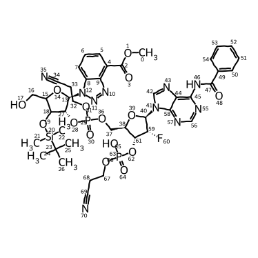 COC(=O)c1cccc2c1nnn2[C@@H]1OC(CO)C(O[Si](C)(C)C(C)(C)C)[C@H]1OP(=O)(OCCC#N)OC[C@H]1O[C@@H](n2cnc3c(NC(=O)c4ccccc4)ncnc32)[C@H](F)[C@@H]1OP(=O)(O)OCCC#N